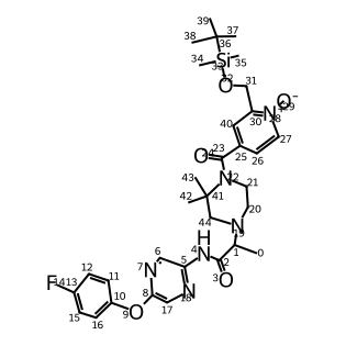 CC(C(=O)Nc1cnc(Oc2ccc(F)cc2)cn1)N1CCN(C(=O)c2cc[n+]([O-])c(CO[Si](C)(C)C(C)(C)C)c2)C(C)(C)C1